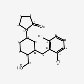 O=C1CCCN1C1CCC(CO)C(Cc2c(F)cccc2Cl)C1